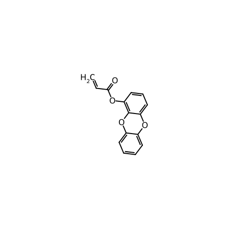 C=CC(=O)Oc1cccc2c1Oc1ccccc1O2